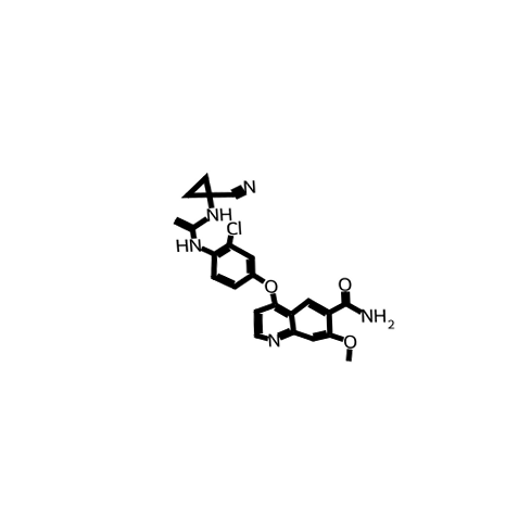 C=C(Nc1ccc(Oc2ccnc3cc(OC)c(C(N)=O)cc23)cc1Cl)NC1(C#N)CC1